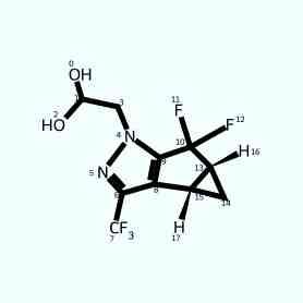 OC(O)Cn1nc(C(F)(F)F)c2c1C(F)(F)[C@@H]1C[C@H]21